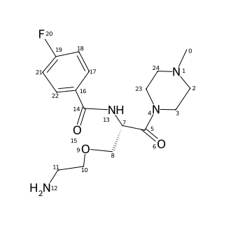 CN1CCN(C(=O)[C@H](COCCN)NC(=O)c2ccc(F)cc2)CC1